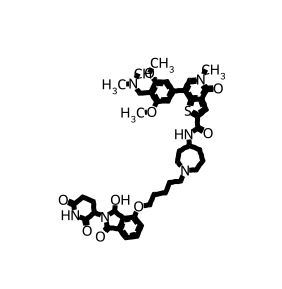 COc1cc(-c2cn(C)c(=O)c3cc(C(=O)NC4CCCN(CCCCCOc5cccc6c5C(O)N(C5CCC(=O)NC5=O)C6=O)CC4)sc23)cc(OC)c1CN(C)C